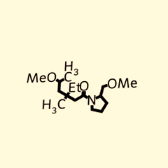 CCC(C)(CC(=O)N1CCCC1COC)CC(C)OC